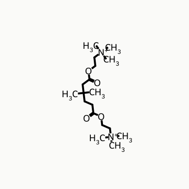 CC(C)(CCC(=O)OCC[N+](C)(C)C)CC(=O)OCC[N+](C)(C)C